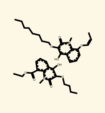 C/C=C\Oc1cccc2c(O)c(OCCCCCCCC)c(=O)n(C)c12.CCCCOc1c(O)c2cccc(C(=O)OCC)c2n(C)c1=O